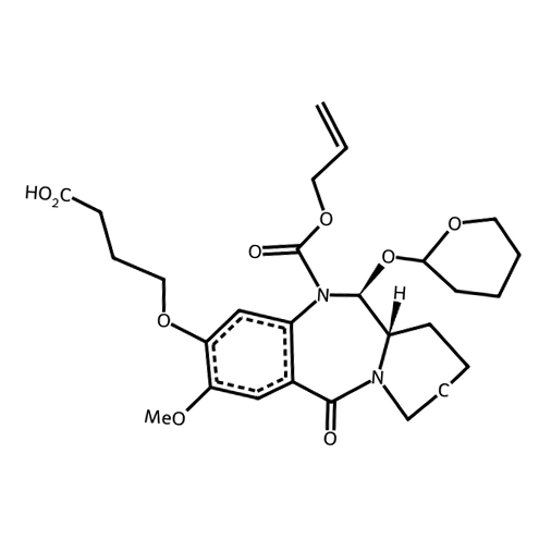 C=CCOC(=O)N1c2cc(OCCCC(=O)O)c(OC)cc2C(=O)N2CCCC[C@H]2[C@@H]1OC1CCCCO1